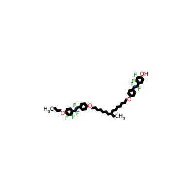 CCCCOc1ccc(/C(F)=C(\F)c2ccc(OCCCCCCCC(CC)CCCCCCCOc3ccc(/C(F)=C(\F)c4ccc(O)c(F)c4F)cc3)cc2)c(F)c1F